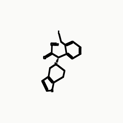 COC(=O)[C@H](c1ccccc1CI)N1CCc2sccc2C1